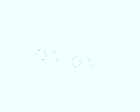 Cc1ccc(F)c(C(=O)NCCc2ccc(C(=O)NO)cc2)c1